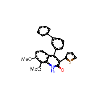 COc1ccc2c(-c3cccc(-c4ccccc4)c3)c(-c3cccs3)c(=O)[nH]c2c1OC